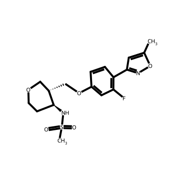 Cc1cc(-c2ccc(OC[C@H]3COCC[C@@H]3NS(C)(=O)=O)cc2F)no1